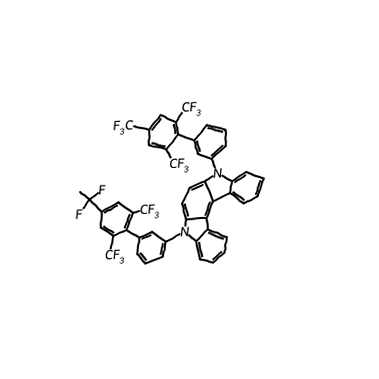 CC(F)(F)c1cc(C(F)(F)F)c(-c2cccc(-n3c4ccccc4c4c5c6ccccc6n(-c6cccc(-c7c(C(F)(F)F)cc(C(F)(F)F)cc7C(F)(F)F)c6)c5ccc43)c2)c(C(F)(F)F)c1